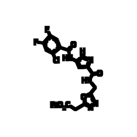 CCOC(=O)Cc1nnc(CNC(=O)c2cc(NC(=O)c3cc(F)c(F)cc3Cl)[nH]n2)o1